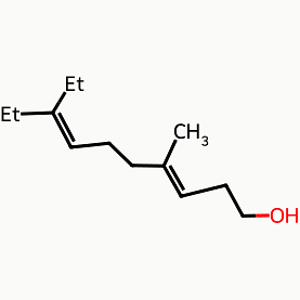 CCC(=CCC/C(C)=C/CCO)CC